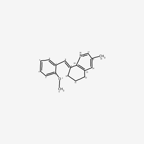 COc1ccccc1C=C1CCCc2cc(C)cnc21